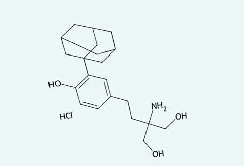 Cl.NC(CO)(CO)CCc1ccc(O)c(C23CC4CC(CC(C4)C2)C3)c1